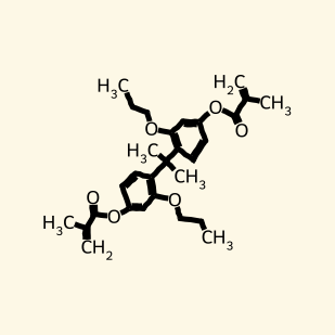 C=C(C)C(=O)Oc1ccc(C(C)(C)c2ccc(OC(=O)C(=C)C)cc2OCCC)c(OCCC)c1